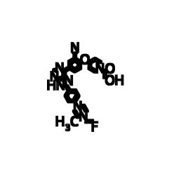 CC1CN(C2=CC=C(c3nc4c(-c5ccc(OC6CCN(C(=O)CO)CC6)c(C#N)c5)ncnc4[nH]3)CC2)CCN1CCF